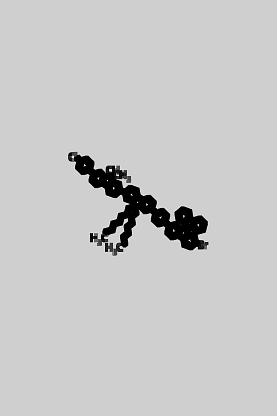 CCCCCCCCC1(CCCCCCCC)c2cc(-c3ccc(-c4ccc5c(c4)C(c4ccccc4)(c4ccccc4)c4cc(Br)ccc4-5)cc3)ccc2-c2ccc(-c3ccc4c(c3)C(C)(C)c3cc(-c5ccc(Cl)cc5)ccc3-4)cc21